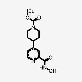 CC(C)(C)OC(=O)N1CCC(c2ccnc(C(=O)NO)c2)CC1